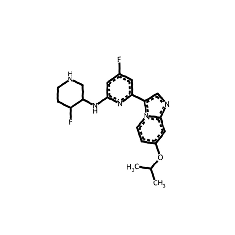 CC(C)Oc1ccn2c(-c3cc(F)cc(NC4CNCCC4F)n3)cnc2c1